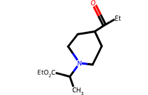 CCOC(=O)C(C)N1CCC(C(=O)CC)CC1